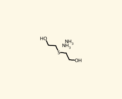 N.N.OCCSCCO